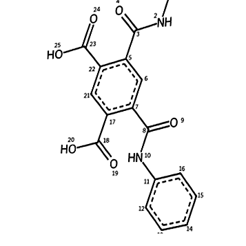 CCNC(=O)c1cc(C(=O)Nc2ccccc2)c(C(=O)O)cc1C(=O)O